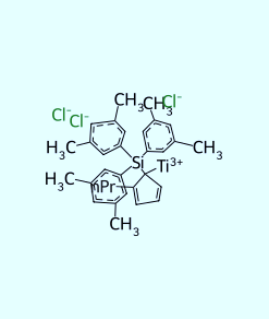 CCCC1=CC=C[C]1([Ti+3])[Si](c1cc(C)cc(C)c1)(c1cc(C)cc(C)c1)c1cc(C)cc(C)c1.[Cl-].[Cl-].[Cl-]